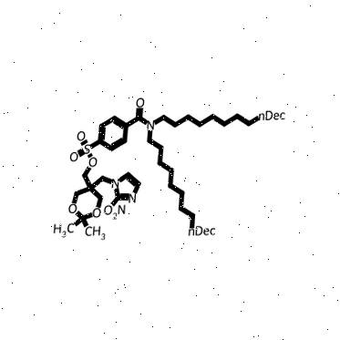 CCCCCCCCCCCCCCCCCCN(CCCCCCCCCCCCCCCCCC)C(=O)c1ccc(S(=O)(=O)OCC2(Cn3ccnc3[N+](=O)[O-])COC(C)(C)OC2)cc1